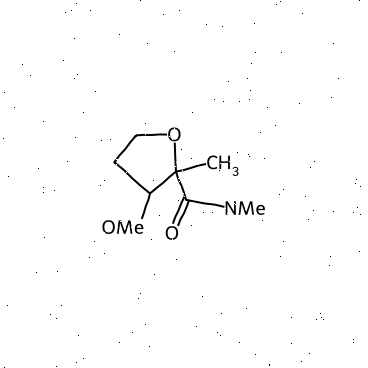 CNC(=O)C1(C)OCCC1OC